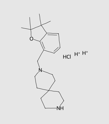 CC1(C)Oc2c(CN3CCC4(CCNCC4)CC3)cccc2C1(C)C.Cl.[H+].[H+]